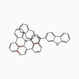 c1ccc(-c2ccccc2N(c2ccc(-c3ccc4c(c3)oc3ccccc34)cc2)c2ccccc2-c2cccc3oc4cc5ccccc5cc4c23)cc1